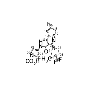 CC1CN(c2nc3ccc(F)cc3cc2C(=O)Nc2ccnc(C(=O)O)c2)CCC1(F)F